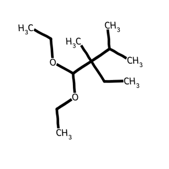 CCOC(OCC)C(C)(CC)C(C)C